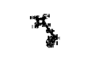 O=C(O)CCC(NC(=O)NC(CCCCNC(=O)CCCCNC(=O)CN1CCN(CC(=O)O)CCN(CC(=O)O)CCN(CC(=O)O)CC1)C(=O)O)C(=O)O